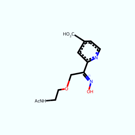 CC(=O)NCCOC/C(=N\O)c1cc(C(=O)O)ccn1